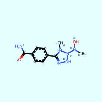 CN1C(c2ccc(C(N)=O)cc2)=NNN1N(O)C(C)(C)C